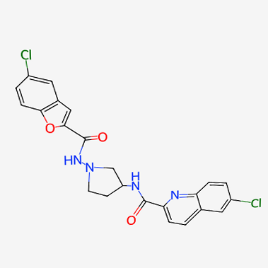 O=C(NC1CCN(NC(=O)c2cc3cc(Cl)ccc3o2)C1)c1ccc2cc(Cl)ccc2n1